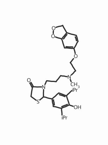 CC(C)c1cc(C2SCC(=O)N2CCCN(C)CCOc2ccc3c(c2)OOC3)cc(C(C)C)c1O